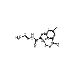 Cc1cc2c3c(c1)cc(C(=O)NC=NN)n3CCC2=O